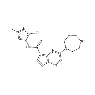 Cn1cc(NC(=O)c2csc3ncc(N4CCCNCC4)nc23)c(Cl)n1